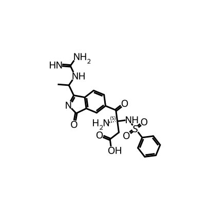 CC(NC(=N)N)C1=NC(=O)c2cc(C(=O)[C@](N)(CC(=O)O)NS(=O)(=O)c3ccccc3)ccc21